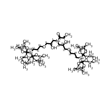 C=CC(=O)N(CC(O)COCCC[SiH](C(O[SiH2]C)(O[SiH2]C)O[SiH2]C)C(O[SiH2]C)(O[SiH2]C)O[SiH2]C)CC(O)COCCC[SiH](C(O[SiH2]C)(O[SiH2]C)O[SiH2]C)C(O[SiH2]C)(O[SiH2]C)O[SiH2]C